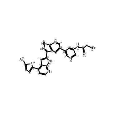 CC(=O)c1ccc(-c2ccnc3[nH]c(-c4n[nH]c5ncc(-c6cncc(NC(=O)CC(C)C)c6)cc45)cc23)s1